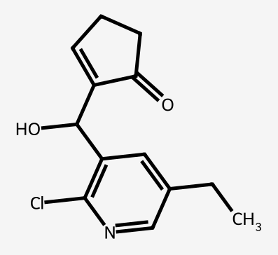 CCc1cnc(Cl)c(C(O)C2=CCCC2=O)c1